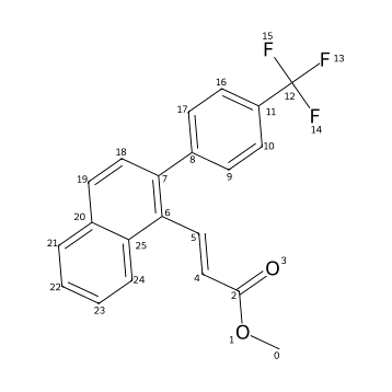 COC(=O)/C=C/c1c(-c2ccc(C(F)(F)F)cc2)ccc2ccccc12